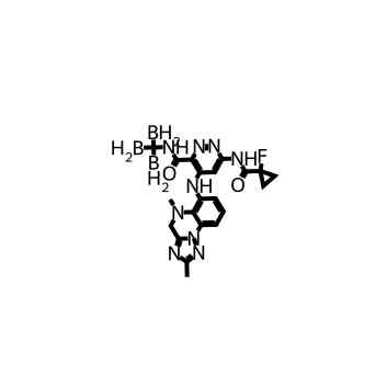 BC(B)(B)NC(=O)c1nnc(NC(=O)C2(F)CC2)cc1Nc1cccc2c1N(C)Cc1nc(C)nn1-2